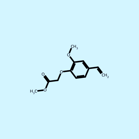 C=Cc1ccc(OCC(=O)OC)c(OC)c1